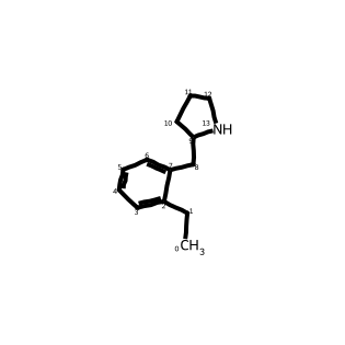 CCc1ccccc1CC1CCCN1